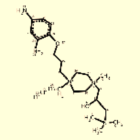 C[N+](C)(C)CC(O)C[N+]1(C)CC[N+](C)(CCCOc2ccc(N)cc2N)CC1.[Cl-].[Cl-].[Cl-]